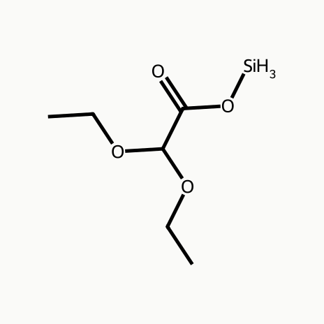 CCOC(OCC)C(=O)O[SiH3]